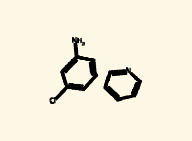 Nc1cccc(Cl)c1.c1ccncc1